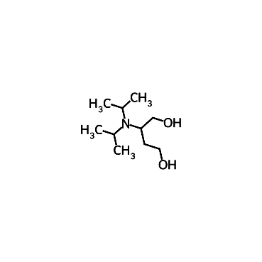 CC(C)N(C(C)C)C(CO)CCO